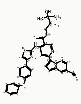 CC(C)(O)[C@H](F)CNC(=O)c1cnc(-c2ccc3cc(C#N)cnn23)cc1Nc1nc(-c2ccc(Oc3ccccc3)cc2)cs1